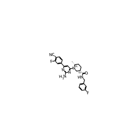 C[C@@H]1CC[C@H](C(=O)NCc2cccc(F)c2)CN1c1cc(-c2ccc(C#N)c(F)c2)nc(N)n1